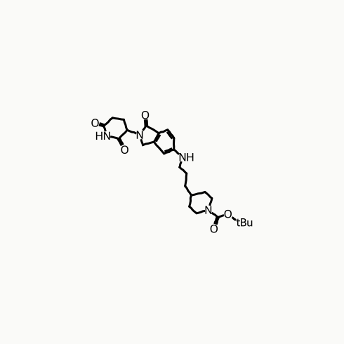 CC(C)(C)OC(=O)N1CCC(CCCNc2ccc3c(c2)CN(C2CCC(=O)NC2=O)C3=O)CC1